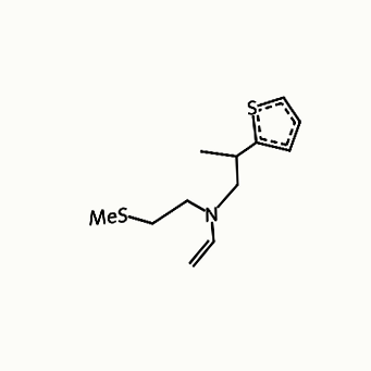 C=CN(CCSC)CC(C)c1cccs1